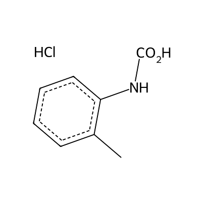 Cc1ccccc1NC(=O)O.Cl